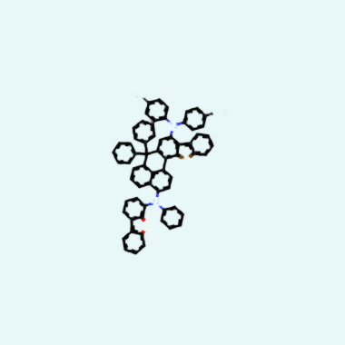 CC(C)(C)c1ccc(N(c2ccc(C(C)(C)C)cc2)c2cc3c(c4sc5ccccc5c24)-c2ccc(N(c4ccccc4)c4cccc5c4oc4ccccc45)c4cccc(c24)C3(c2ccccc2)c2ccccc2)cc1